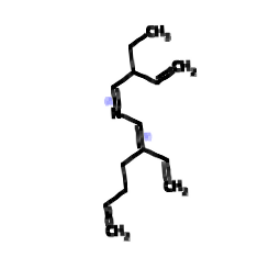 C=CCC/C(C=C)=C\N=C/C(C=C)CC